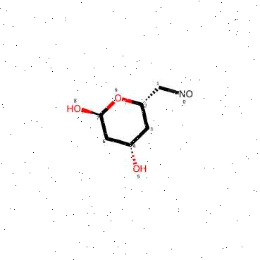 O=NC[C@@H]1C[C@H](O)C[C@@H](O)O1